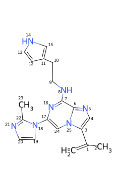 C=C(C)c1cnc2c(NCCc3cc[nH]c3)nc(-n3ccnc3C)cn12